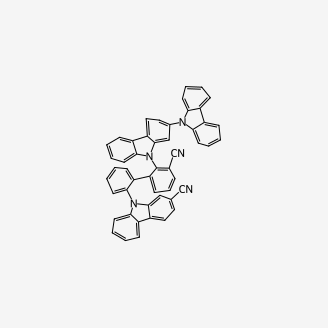 N#Cc1ccc2c3ccccc3n(-c3ccccc3-c3cccc(C#N)c3-n3c4ccccc4c4ccc(-n5c6ccccc6c6ccccc65)cc43)c2c1